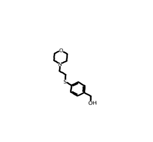 OCc1ccc(SCCN2CCOCC2)cc1